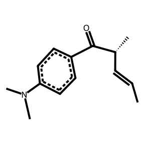 C/C=C/[C@@H](C)C(=O)c1ccc(N(C)C)cc1